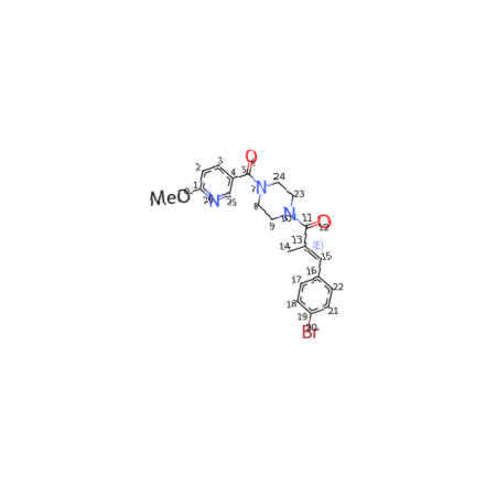 COc1ccc(C(=O)N2CCN(C(=O)/C(C)=C/c3ccc(Br)cc3)CC2)cn1